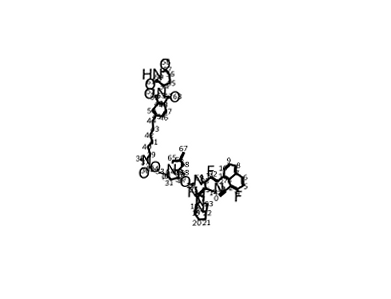 C#Cc1c(F)ccc2cccc(-c3ncc4c(N5CC6CCC(C5)N6)nc(OC[C@@]56CC[C@@H](COC(=O)N(C)CCCCCCc7ccc8c(c7)C(=O)N(C7CCC(=O)NC7=O)C8=O)N5CC(=C)C6)nc4c3F)c12